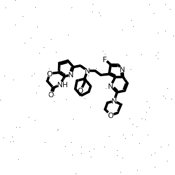 O=C1COc2ccc(CN(CCc3c(F)cnc4ccc(N5CCOCC5)nc34)C34CCC(CC3)OC4)nc2N1